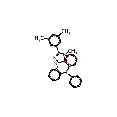 Cc1cc(C)cc(C2=N[C@@H](c3ccccc3P(c3ccccc3)c3ccccc3)CN2C)c1